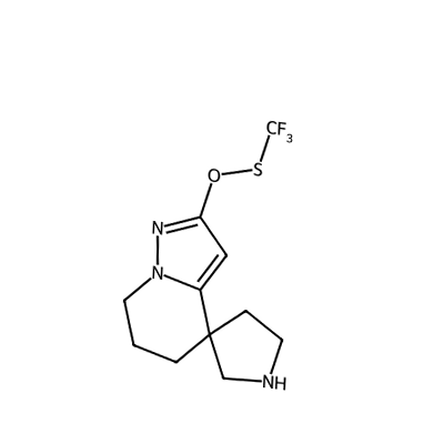 FC(F)(F)SOc1cc2n(n1)CCCC21CCNC1